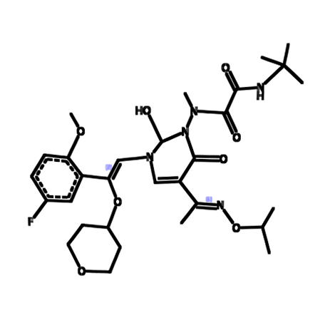 COc1ccc(F)cc1/C(=C/N1C=C(/C(C)=N/OC(C)C)C(=O)N(N(C)C(=O)C(=O)NC(C)(C)C)C1O)OC1CCOCC1